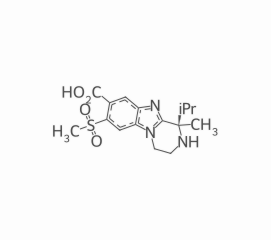 CC(C)[C@@]1(C)NCCn2c1nc1cc(C(=O)O)c(S(C)(=O)=O)cc12